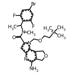 CC(c1c(F)cc(Br)cc1F)N(C)C(=O)c1cc2nc(N)c3c(c2n1COCC[Si](C)(C)C)COC3